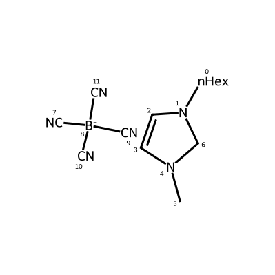 CCCCCCN1C=CN(C)C1.N#C[B-](C#N)(C#N)C#N